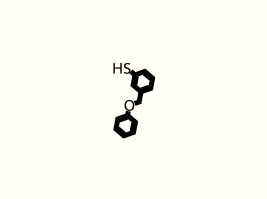 Sc1cccc(COc2ccccc2)c1